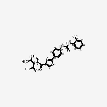 CC(C)[C@H](NC(=O)c1csc(-c2ccc(NC(=O)Nc3ccccc3Cl)cc2)n1)C(=O)O